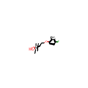 Bc1cc(F)ccc1OCCCC(C)(C)[Si](C)(C)O